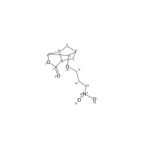 O=C1OC2C3CC(CC13)C2OCCC[N+](=O)[O-]